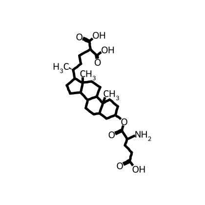 C[C@H](CCC(C(=O)O)C(=O)O)C1CCC2C3CCC4CC(OC(=O)C(N)CCC(=O)O)CCC4(C)C3CCC21C